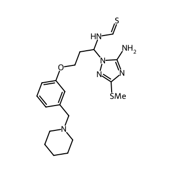 CSc1nc(N)n(C(CCOc2cccc(CN3CCCCC3)c2)NC=S)n1